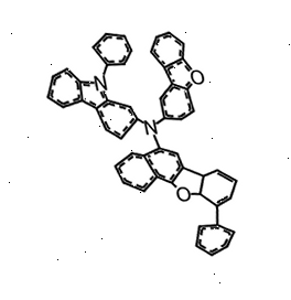 C1=CC2c3cc(N(c4ccc5oc6ccccc6c5c4)c4ccc5c6ccccc6n(-c6ccccc6)c5c4)c4ccccc4c3OC2C(c2ccccc2)=C1